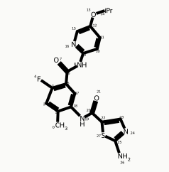 Cc1cc(F)c(C(=O)Nc2ccc(OC(C)C)cn2)cc1NC(=O)c1cnc(N)s1